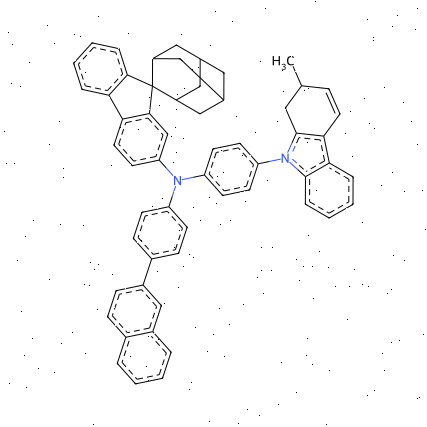 CC1C=Cc2c(n(-c3ccc(N(c4ccc(-c5ccc6ccccc6c5)cc4)c4ccc5c(c4)C4(c6ccccc6-5)C5CC6CC(C5)CC4C6)cc3)c3ccccc23)C1